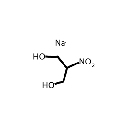 O=[N+]([O-])C(CO)CO.[Na]